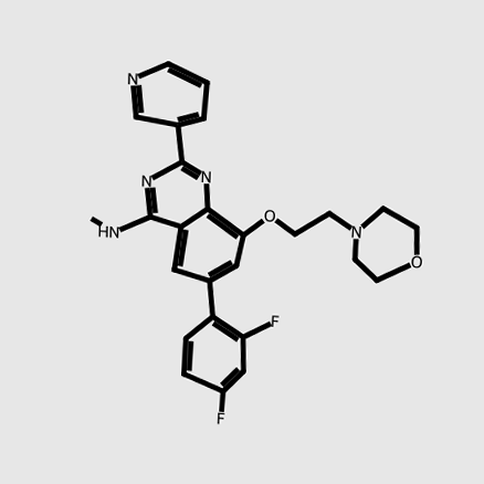 CNc1nc(-c2cccnc2)nc2c(OCCN3CCOCC3)cc(-c3ccc(F)cc3F)cc12